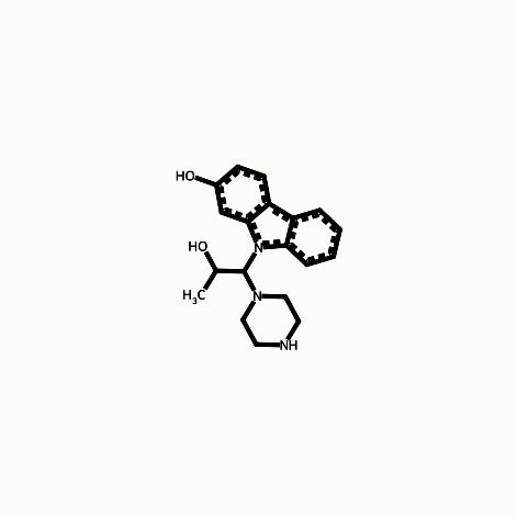 CC(O)C(N1CCNCC1)n1c2ccccc2c2ccc(O)cc21